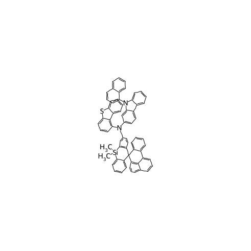 C[Si]1(C)c2ccccc2C2(c3ccccc3-c3cccc4cccc2c34)c2ccc(N(c3ccc4c5ccccc5n(-c5cccc6ccccc56)c4c3)c3cccc4sc5ccccc5c34)cc21